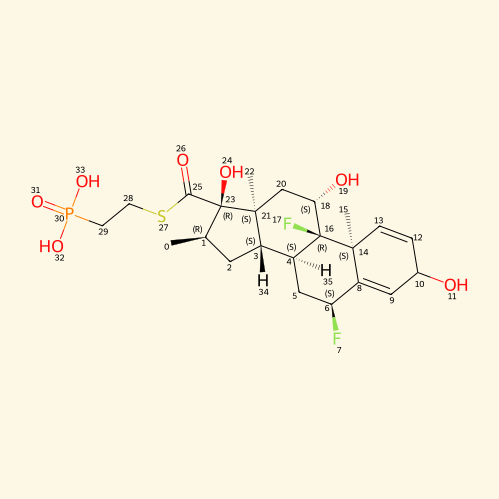 C[C@@H]1C[C@H]2[C@@H]3C[C@H](F)C4=CC(O)C=C[C@]4(C)[C@@]3(F)[C@@H](O)C[C@]2(C)[C@@]1(O)C(=O)SCCP(=O)(O)O